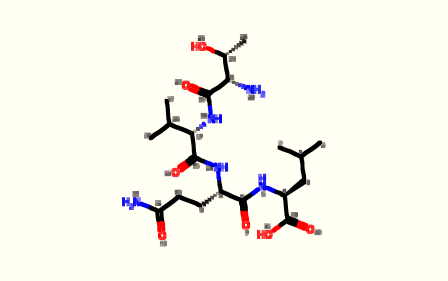 CC(C)C[C@H](NC(=O)[C@H](CCC(N)=O)NC(=O)[C@@H](NC(=O)[C@@H](N)[C@@H](C)O)C(C)C)C(=O)O